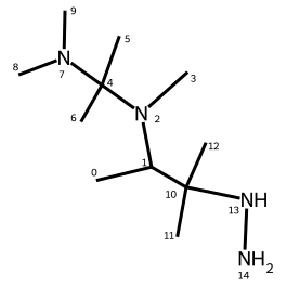 CC(N(C)C(C)(C)N(C)C)C(C)(C)NN